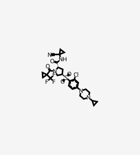 N#CC1(NC(=O)[C@@H]2C[C@@H](S(=O)(=O)c3ccc(N4CCN(C5CC5)CC4)cc3Cl)CN2C(=O)C2(C(F)(F)F)CC2)CC1